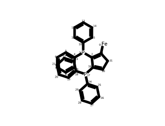 [Fe][C]1=C(P(c2ccccc2)c2ccccc2)C(P(c2ccccc2)c2ccccc2)=CC1